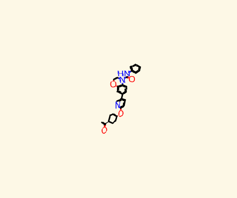 CC(=O)[C@H]1CC[C@H](Oc2ccc(-c3ccc4c(c3)OCCN4C(=O)Nc3ccccc3)cn2)CC1